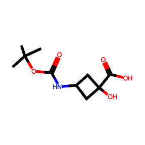 CC(C)(C)OC(=O)NC1CC(O)(C(=O)O)C1